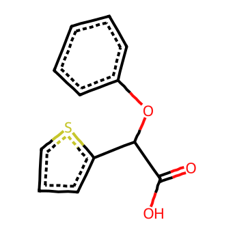 O=C(O)C(Oc1ccccc1)c1cccs1